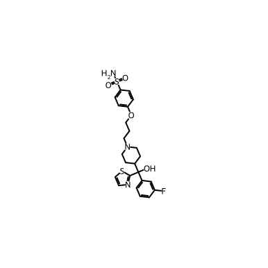 NS(=O)(=O)c1ccc(OCCCN2CCC(C(O)(c3cccc(F)c3)c3nccs3)CC2)cc1